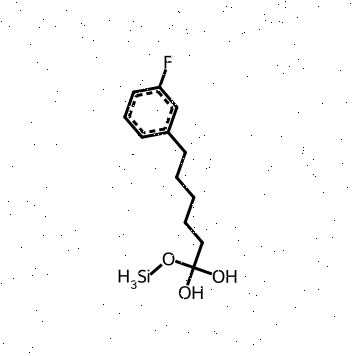 OC(O)(CCCCCc1cccc(F)c1)O[SiH3]